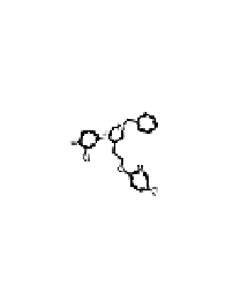 Fc1ccc([C@H]2CN(Cc3ccccc3)CC2CCOc2ccc(Cl)cn2)cc1Cl